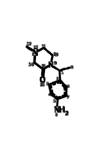 CC(c1ccc(N)cc1)N1CCN(C)CC1=O